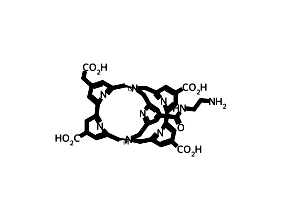 NCCNC(=O)c1cc2nc(c1)C[N@@]1Cc3cc(CC(=O)O)cc(n3)C3=NC(=CC(C(=O)O)C3)C[N@@](C2)Cc2cc(C(=O)O)cc(n2)-c2cc(C(=O)O)cc(n2)C1